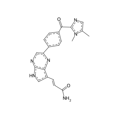 Cc1cnc(C(=O)c2ccc(-c3cnc4[nH]cc(/C=C/C(N)=O)c4n3)cc2)n1C